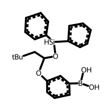 CC(C)(C)CC(Oc1cccc(B(O)O)c1)O[SiH](c1ccccc1)c1ccccc1